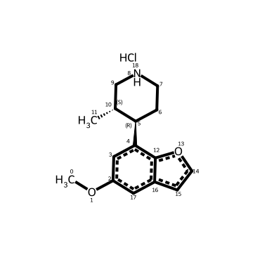 COc1cc([C@@H]2CCNC[C@H]2C)c2occc2c1.Cl